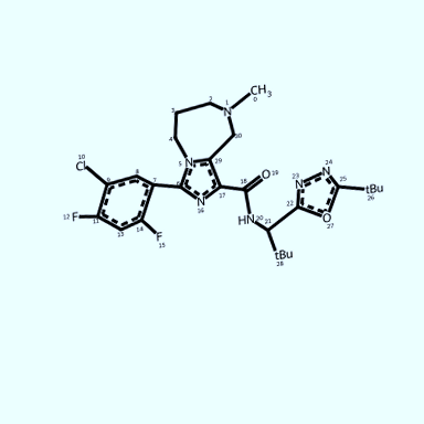 CN1CCCn2c(-c3cc(Cl)c(F)cc3F)nc(C(=O)NC(c3nnc(C(C)(C)C)o3)C(C)(C)C)c2C1